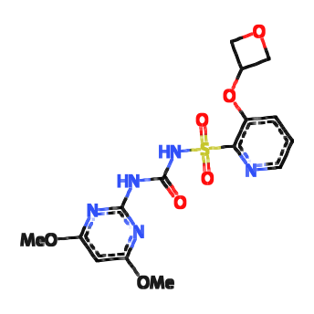 COc1cc(OC)nc(NC(=O)NS(=O)(=O)c2ncccc2OC2COC2)n1